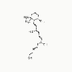 CC1=C(/C=C/C(C)=C/C=C/C(C)C/C=N/CCO)C(C)(C)CCC1